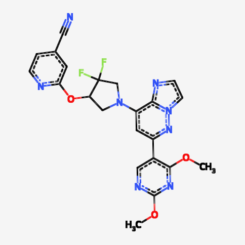 COc1ncc(-c2cc(N3CC(Oc4cc(C#N)ccn4)C(F)(F)C3)c3nccn3n2)c(OC)n1